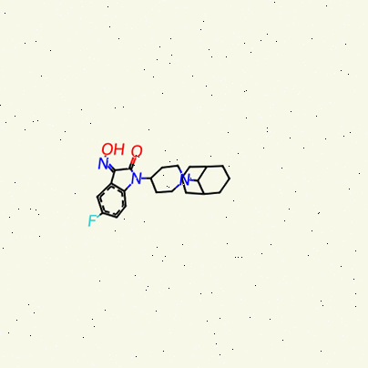 O=C1C(=NO)c2cc(F)ccc2N1C1CCN(C2C3CCCC2CCC3)CC1